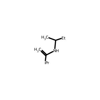 C=C(NC(C)CC)C(C)C